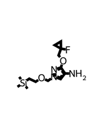 C[Si](C)(C)CCOCn1cc(N)c(OCC2(F)CC2)n1